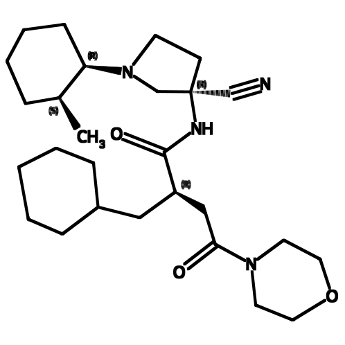 C[C@H]1CCCC[C@H]1N1CC[C@@](C#N)(NC(=O)[C@@H](CC(=O)N2CCOCC2)CC2CCCCC2)C1